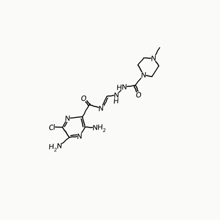 CN1CCN(C(=O)NNC=NC(=O)c2nc(Cl)c(N)nc2N)CC1